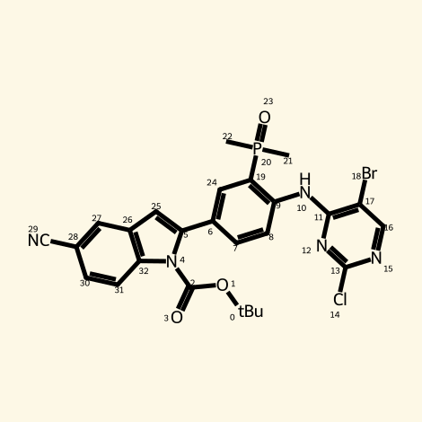 CC(C)(C)OC(=O)n1c(-c2ccc(Nc3nc(Cl)ncc3Br)c(P(C)(C)=O)c2)cc2cc(C#N)ccc21